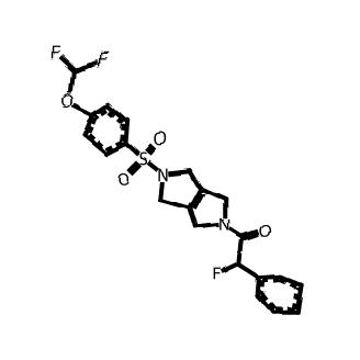 O=C(C(F)c1ccccc1)N1CC2=C(C1)CN(S(=O)(=O)c1ccc(OC(F)F)cc1)C2